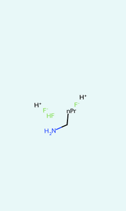 CCCCN.F.[F-].[F-].[H+].[H+]